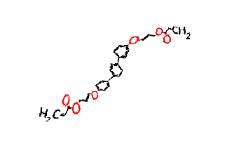 C=CC(=O)OC/C=C/Oc1ccc(-c2ccc(-c3ccc(O/C=C/COC(=O)C=C)cc3)cc2)cc1